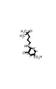 CCC(C)(C)CCCNc1ncc(C(=O)O)cc1Cl